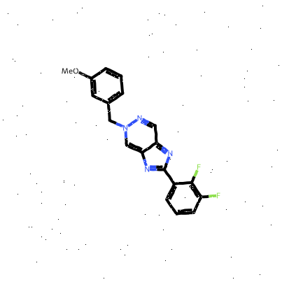 COc1cccc(Cn2cc3nc(-c4cccc(F)c4F)nc-3cn2)c1